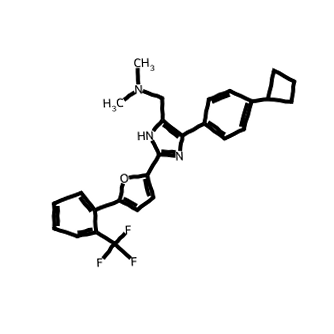 CN(C)Cc1[nH]c(-c2ccc(-c3ccccc3C(F)(F)F)o2)nc1-c1ccc(C2CCC2)cc1